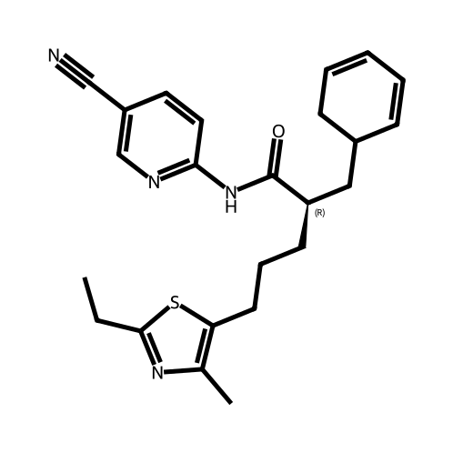 CCc1nc(C)c(CCC[C@H](CC2C=CC=CC2)C(=O)Nc2ccc(C#N)cn2)s1